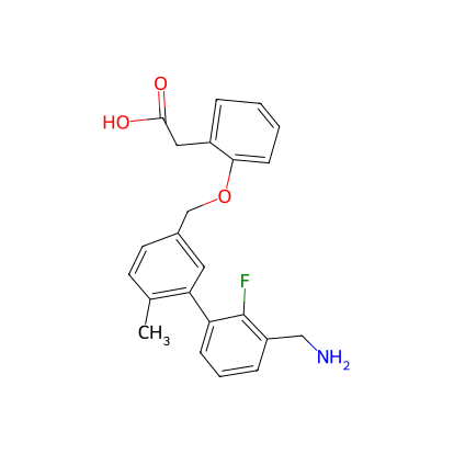 Cc1ccc(COc2ccccc2CC(=O)O)cc1-c1cccc(CN)c1F